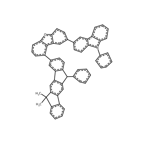 CC1(C)c2ccccc2-c2cc3c(cc21)-c1cc(-c2cccc4oc5ccc(-c6ccc7c(c6)c6ccccc6n7-c6ccccc6)cc5c24)ccc1C3c1ccccc1